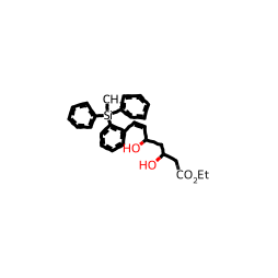 CCOC(=O)CC(O)CC(O)C=Cc1ccccc1[Si](C)(c1ccccc1)c1ccccc1